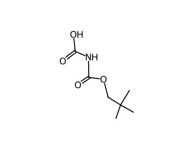 CC(C)(C)COC(=O)NC(=O)O